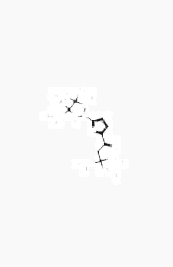 CC(C)(C)CC(=O)c1ccc(B2OC(C)(C)C(C)(C)O2)s1